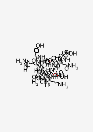 CC(C)C[C@H](NC(=O)[C@H](Cc1ccccc1)NC(=O)[C@H](CCCNC(=N)N)NC(=O)[C@@H](N)Cc1ccc(O)cc1)C(=O)N[C@@H](C)C(=O)N[C@@H](CCCCN)C(=O)N[C@@H](CCC(=O)O)C(=O)N[C@@H](CC(N)=O)C(=O)N[C@H](C(=O)N[C@@H](CCC(N)=O)C(=O)N[C@@H](CC(=O)O)C(=O)O)[C@@H](C)O